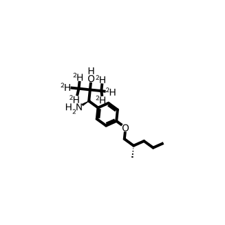 [2H]C([2H])([2H])C(O)([C@H](N)c1ccc(OC[C@@H](C)CCC)cc1)C([2H])([2H])[2H]